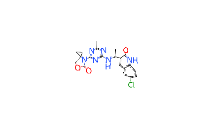 Cc1nc(N[C@@H](C)c2cc3cc(Cl)ccc3[nH]c2=O)nc(N2C(=O)OCC23CC3)n1